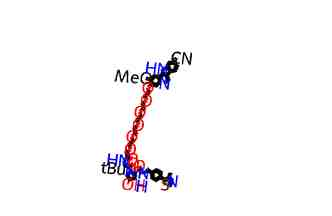 COc1cc2c(cc1OCCOCCOCCOCCOCCOCC(=O)N[C@H](C(=O)N1C[C@H](O)C[C@H]1C(=O)NCc1ccc(-c3scnc3C)cc1)C(C)(C)C)ncc1c3ccc(C#N)cc3[nH]c21